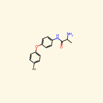 CC(=O)c1ccc(Oc2ccc(NC(=O)C(C)N)cc2)cc1